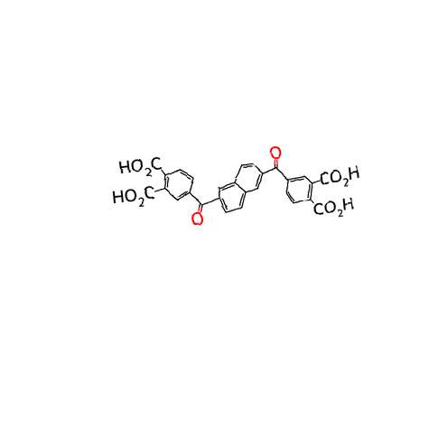 O=C(c1ccc(C(=O)O)c(C(=O)O)c1)c1ccc2cc(C(=O)c3ccc(C(=O)O)c(C(=O)O)c3)ccc2c1